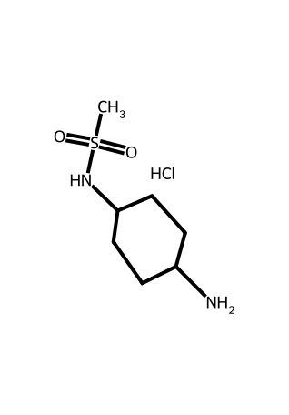 CS(=O)(=O)NC1CCC(N)CC1.Cl